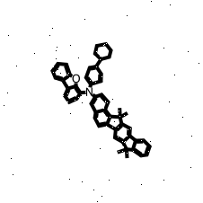 CC1(C)c2ccccc2-c2cc3c(cc21)-c1ccc2cc(N(c4ccc(C5CCCCC5)cc4)c4cccc5c4oc4ccccc45)ccc2c1C3(C)C